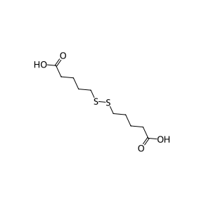 O=C(O)CCCCSSCCCCC(=O)O